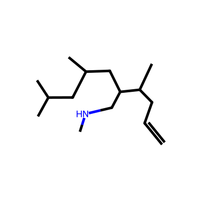 C=CCC(C)C(CNC)CC(C)CC(C)C